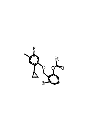 CCC(=O)Oc1cccc(Br)c1COc1cc(F)c(C)cc1C1CC1